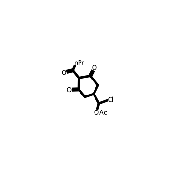 CCCC(=O)C1C(=O)CC(C(Cl)OC(C)=O)CC1=O